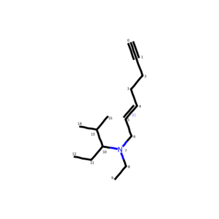 C#CCC/C=C/CN(CC)C(CC)C(C)C